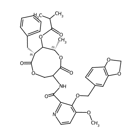 COc1ccnc(C(=O)NC2COC(=O)[C@H](Cc3ccccc3)C(OC(=O)C(C)C)[C@H](C)OC2=O)c1OCc1ccc2c(c1)OCO2